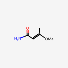 COC(C)=CC(N)=O